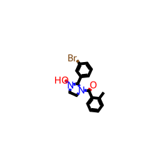 Cc1ccccc1C(=O)N1CCN(O)C1c1cccc(Br)c1